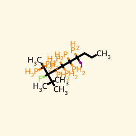 CCCC(P)(I)C(P)(P)C(P)(P)C(P)(P)C(F)(C(C)(C)C)C(C)(P)P